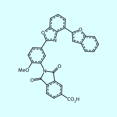 COc1ccc(-c2nc3c(-c4cc5ccccc5o4)cccc3o2)cc1N1C(=O)c2ccc(C(=O)O)cc2C1=O